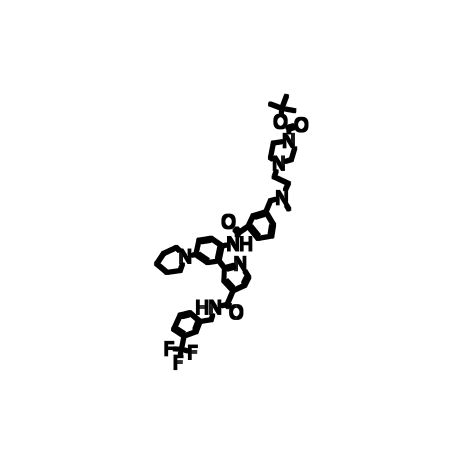 CN(CCN1CCN(C(=O)OC(C)(C)C)CC1)Cc1cccc(C(=O)Nc2ccc(N3CCCCC3)cc2-c2cc(C(=O)NCc3cccc(C(F)(F)F)c3)ccn2)c1